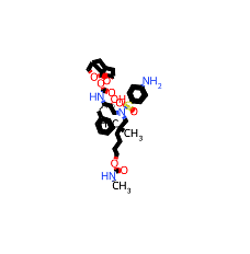 CNC(=O)OCCCCC(C)(C)CN(C[C@@H](O)[C@H](Cc1ccccc1)NC(=O)OC1C2COC3OC1CC3C2)S(=O)(=O)c1ccc(N)cc1